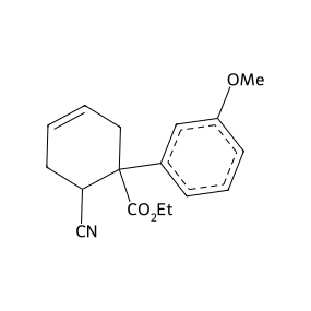 CCOC(=O)C1(c2cccc(OC)c2)CC=CCC1C#N